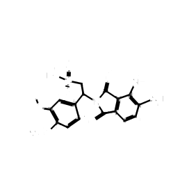 CCOc1cc(C(CS(C)(=O)=O)N2C(=O)c3ccc(N)c(N)c3C2=O)ccc1OC